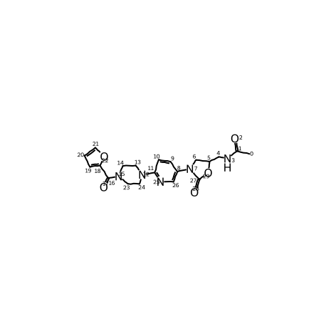 CC(=O)NCC1CN(c2ccc(N3CCN(C(=O)c4ccco4)CC3)nc2)C(=O)O1